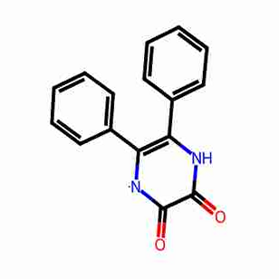 O=C1[N]C(c2ccccc2)=C(c2ccccc2)NC1=O